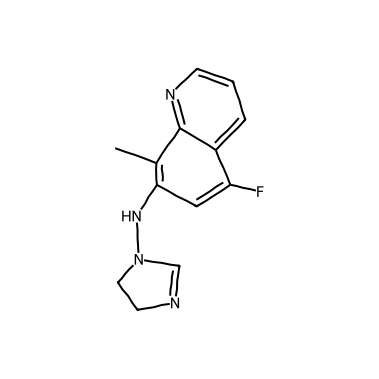 Cc1c(NN2C=NCC2)cc(F)c2cccnc12